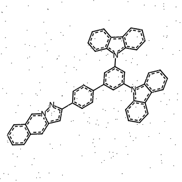 c1ccc2cn3nc(-c4ccc(-c5cc(-n6c7ccccc7c7ccccc76)cc(-n6c7ccccc7c7ccccc76)c5)cc4)cc3cc2c1